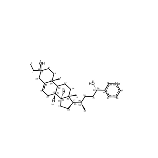 CC[C@]1(O)CC[C@@]2(C)C(=CC[C@@H]3C2CC[C@]2(C)[C@@H]([C@H](C)CC[C@H](O)c4cccnc4)CC[C@@H]32)C1